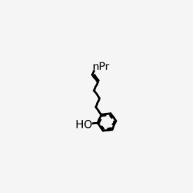 CCCC=CCCCc1ccccc1O